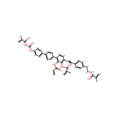 C=CC(=O)Oc1c(-c2ccc(-c3ccc(OC(=O)OC(=O)C(=C)C)cc3)cc2)ccc(C#Cc2ccc(CCOC(=O)C(=C)C)cc2)c1OC(=O)C(=C)C